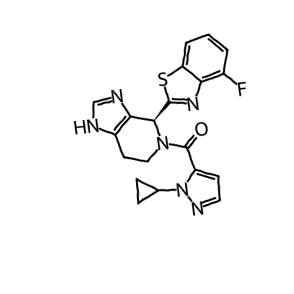 O=C(c1ccnn1C1CC1)N1CCc2[nH]cnc2[C@H]1c1nc2c(F)cccc2s1